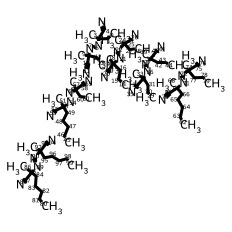 CCC(C)(C#N)N=NC(C)(C#N)CC.CCCC(C)(C#N)N=NC(C)(C#N)CC.CCCC(C)(C#N)N=NC(C)(C#N)CCC.CCCCCC(C)(C#N)N=NC(C)(C#N)CC.CCCCCC(C)(C#N)N=NC(C)(C#N)CCC.CCCCCC(C)(C#N)N=NC(C)(C#N)CCCCC